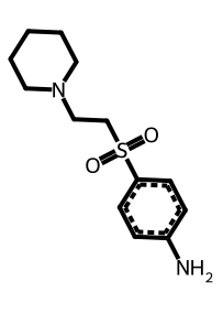 Nc1ccc(S(=O)(=O)CCN2CCCCC2)cc1